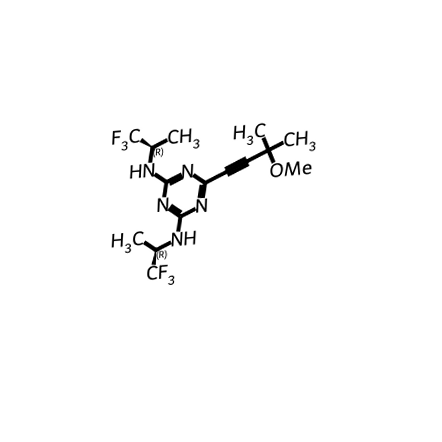 COC(C)(C)C#Cc1nc(N[C@H](C)C(F)(F)F)nc(N[C@H](C)C(F)(F)F)n1